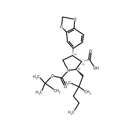 CCCC(C)(C)C[C@@H]1[C@@H](C(=O)O)[C@@H](c2ccc3c(c2)OCO3)CN1C(=O)OC(C)(C)C